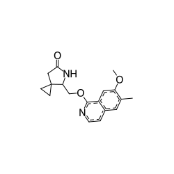 COc1cc2c(OCC3NC(=O)CC34CC4)nccc2cc1C